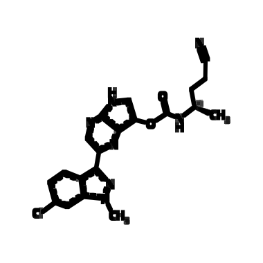 C[C@H](CCC#N)NC(=O)Oc1c[nH]c2ncc(-c3nn(C)c4cc(Cl)ccc34)nc12